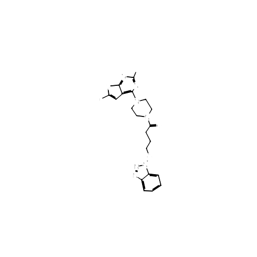 CCc1nc(N2CCN(C(=O)CCCOn3nnc4ccccc43)CC2)c2cc(CC)sc2n1